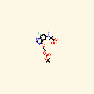 CC(C)(C)OC(=O)OCCOc1ncnc2c(F)cc(NC(C)(C)C(=O)O)cc12